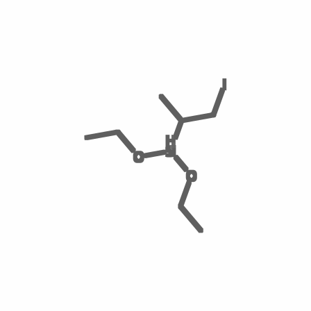 CCO[SiH](OCC)C(C)CI